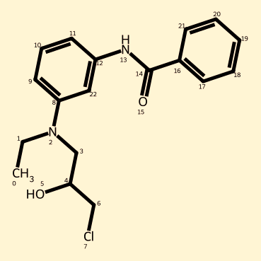 CCN(CC(O)CCl)c1cccc(NC(=O)c2ccccc2)c1